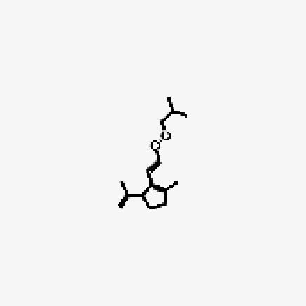 C=C(C)C1CCC(C)=C1C=COOCC(C)C